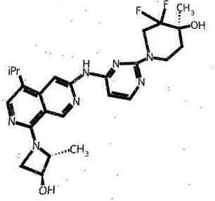 CC(C)c1cnc(N2C[C@H](O)[C@H]2C)c2cnc(Nc3ccnc(N4CC[C@](C)(O)C(F)(F)C4)n3)cc12